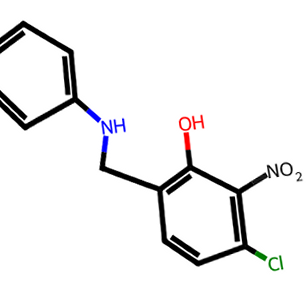 O=[N+]([O-])c1c(Cl)ccc(CNc2ccccc2)c1O